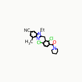 CCn1c(Cc2c(Cl)ccc(C(=O)N3CCCCC3)c2Cl)nc2c(C)cc(C#N)cc21